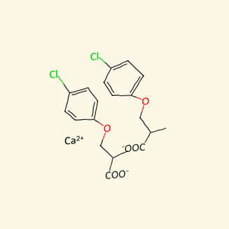 CC(COc1ccc(Cl)cc1)C(=O)[O-].CC(COc1ccc(Cl)cc1)C(=O)[O-].[Ca+2]